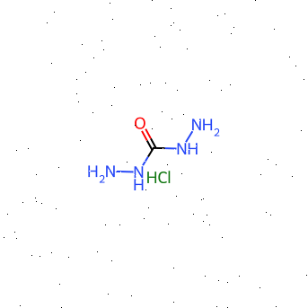 Cl.NNC(=O)NN